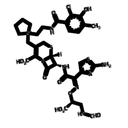 Cc1ccc(C(=O)NCC[N+]2(CC3=C(C(=O)O)N4C(=O)[C@@H](NC(=O)/C(=N\O[C@@H](CNC=O)C(=O)O)c5csc(N)n5)[C@H]4SC3)CCCC2)c(Cl)c1O